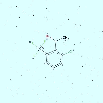 CC(Br)c1c(Cl)cccc1C(F)(F)F